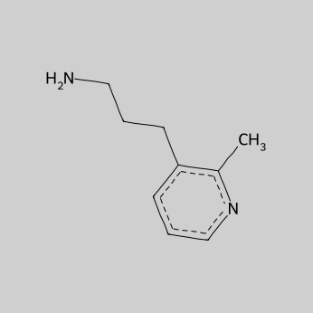 Cc1ncccc1CCCN